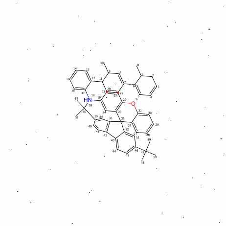 CC1CC=CC=C1C1=CC(C)C(c2ccccc2Nc2ccc3c(c2)C2(c4ccccc4O3)c3cc(C(C)(C)C)ccc3-c3ccc(C(C)(C)C)cc32)C=C1